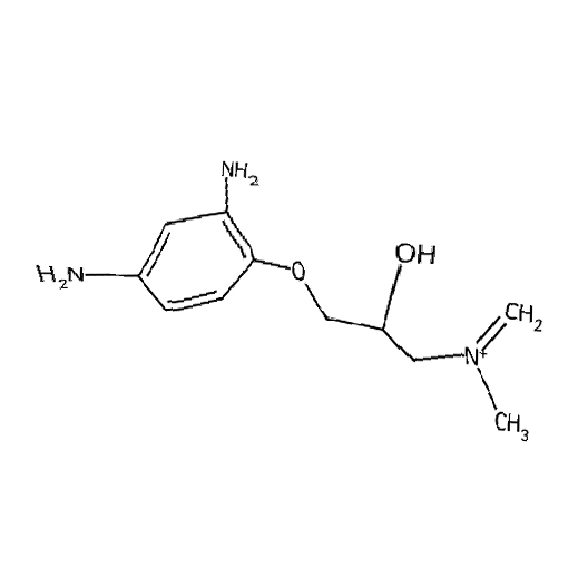 C=[N+](C)CC(O)COc1ccc(N)cc1N